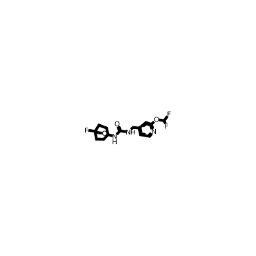 O=C(NCc1ccnc(OC(F)F)c1)NC12CCC(F)(CC1)CC2